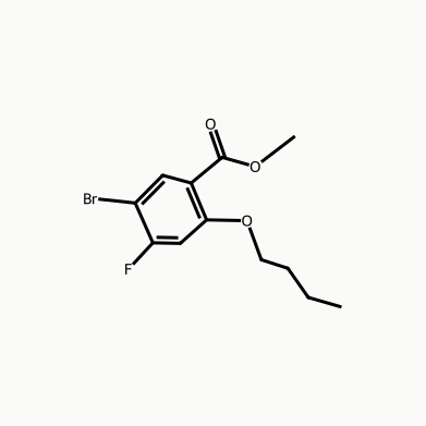 CCCCOc1cc(F)c(Br)cc1C(=O)OC